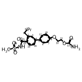 CC(C)Cc1cc(-c2ccc(OCCOC(N)=O)cc2)ccc1C(=O)NS(C)(=O)=O